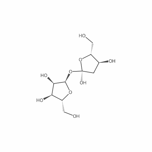 OC[C@H]1O[C@H](O[C@]2(O)C[C@H](O)[C@@H](CO)O2)[C@H](O)[C@@H]1O